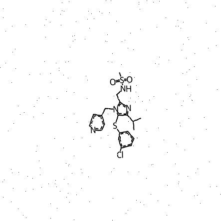 CC(C)c1nc(CNS(C)(=O)=O)n(Cc2ccncc2)c1Sc1cccc(Cl)c1